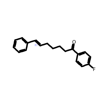 O=C(CCCC/C=C/c1ccccc1)c1ccc(F)cc1